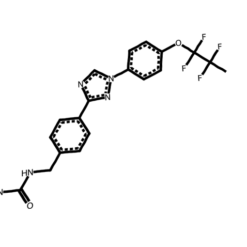 CNC(=O)NCc1ccc(-c2ncn(-c3ccc(OC(F)(F)C(C)(F)F)cc3)n2)cc1